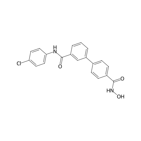 O=C(NO)c1ccc(-c2cccc(C(=O)Nc3ccc(Cl)cc3)c2)cc1